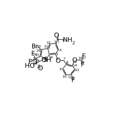 NC(=O)c1cc(OCc2ccc(F)cc2OC(F)F)c2sc(C(F)(F)P(=O)(O)O)c(Br)c2c1